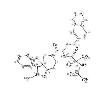 CN1N=C2CCN(C(=O)C(COc3ccc4ccccc4c3)NC(=O)C(C)(C)NC(=O)O)CC2(Cc2ccccc2)C1=O